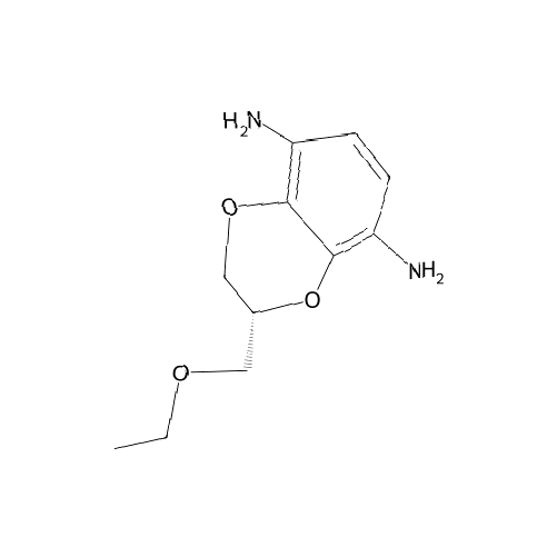 CCOC[C@@H]1COc2c(N)ccc(N)c2O1